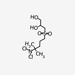 CC(C)(CCCS(=O)(=O)CC(O)CO)N(Cl)Cl